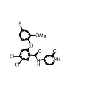 COc1cc(F)ccc1Oc1cc(Cl)c(Cl)cc1C(=O)Nc1cc[nH]c(=O)c1